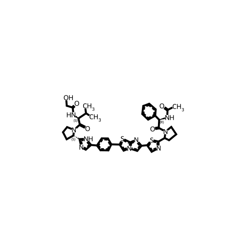 CC(=O)N[C@@H](C(=O)N1CCCC1c1ncc(-c2cn3cc(-c4ccc(-c5cnc([C@@H]6CCCN6C(=O)[C@@H](NC(=O)CO)C(C)C)[nH]5)cc4)sc3n2)s1)c1ccccc1